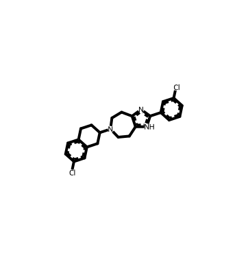 Clc1cccc(-c2nc3c([nH]2)CCN(C2CCc4ccc(Cl)cc4C2)CC3)c1